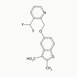 Cc1oc2ccc(OCc3ncccc3C(F)F)cc2c1C(=O)O